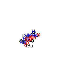 CC(C)C(NC(=O)[C@H](Cc1ccccc1)C[C@H](O)[C@H](Cc1ccccc1)NC(=O)OC(C)(C)C)C(=O)N[C@@H](Cc1ccccc1)C(=O)NC(=O)N1CCOCC1